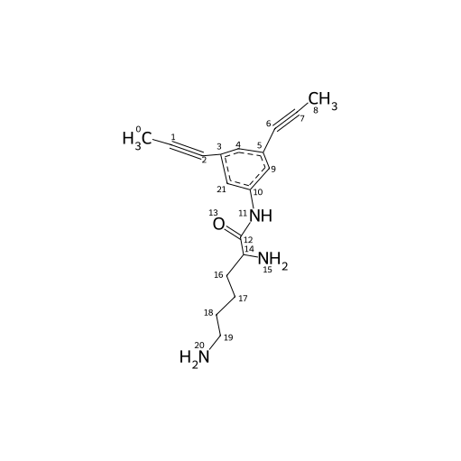 CC#Cc1cc(C#CC)cc(NC(=O)C(N)CCCCN)c1